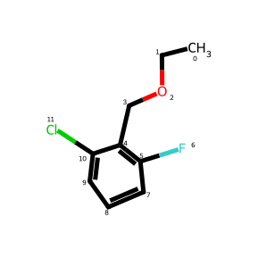 CCOCc1c(F)cccc1Cl